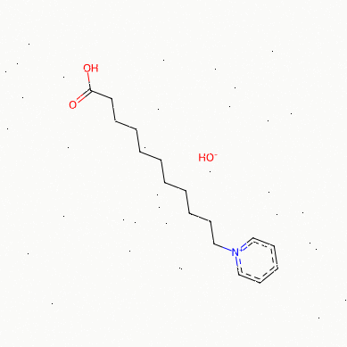 O=C(O)CCCCCCCCCC[n+]1ccccc1.[OH-]